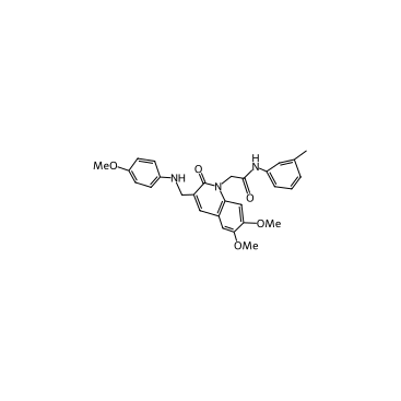 COc1ccc(NCc2cc3cc(OC)c(OC)cc3n(CC(=O)Nc3cccc(C)c3)c2=O)cc1